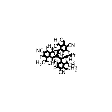 C=Cc1c(C#N)c(F)c(F)c(/C(C#N)=C2/C(=C(CCC)c3c(C=C)c(F)c(C#N)c(F)c3C(=C)C)/C2=C(/C#CC(C)C)c2c(F)c(F)c(C#N)c(C=C)c2C(=C)C)c1C=C